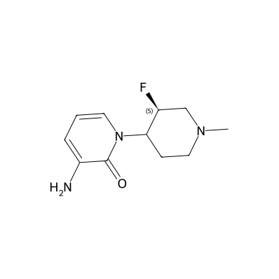 CN1CCC(n2cccc(N)c2=O)[C@@H](F)C1